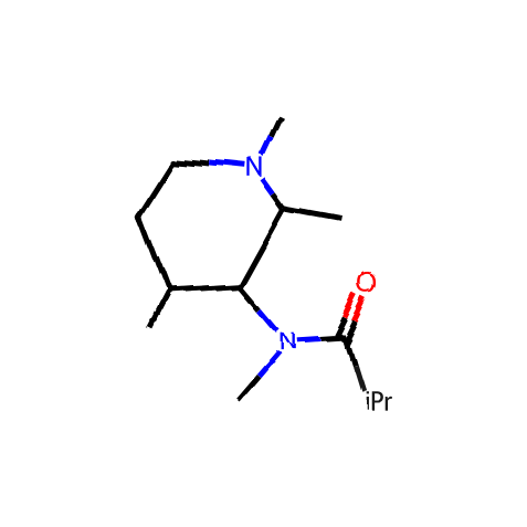 CC(C)C(=O)N(C)C1C(C)CCN(C)C1C